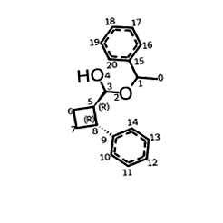 CC(OC(O)[C@@H]1CC[C@H]1c1ccccc1)c1ccccc1